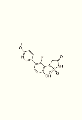 COc1ccc(-c2ccc(O)c(N3CC(=O)NS3(=O)=O)c2F)cn1